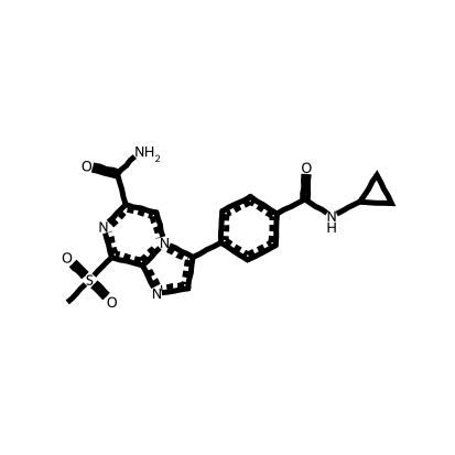 CS(=O)(=O)c1nc(C(N)=O)cn2c(-c3ccc(C(=O)NC4CC4)cc3)cnc12